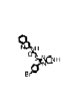 O=C(CSC1=NC2(CCNCC2)N=C1c1ccc(Br)cc1)Nc1cnc2ccccc2c1